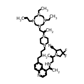 C=CCN1CN(CC)CN(CC)CN(CC(=C)N2CCN(CCCCc3ccc4nccc(C(=C)NCC(=C)N5CC(F)(F)CC5C#N)c4c3)CC2)C1